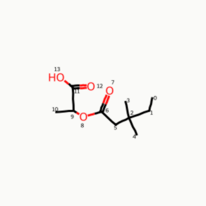 CCC(C)(C)CC(=O)OC(C)C(=O)O